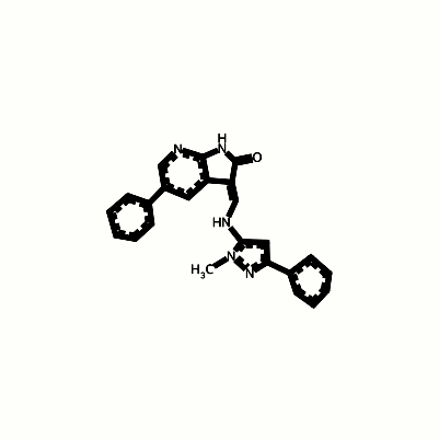 Cn1nc(-c2ccccc2)cc1N/C=C1/C(=O)Nc2ncc(-c3ccccc3)cc21